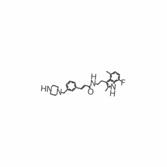 Cc1[nH]c2c(F)ccc(C)c2c1CCNC(=O)/C=C/c1cccc(CN2CCNCC2)c1